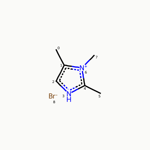 Cc1c[nH]c(C)[n+]1C.[Br-]